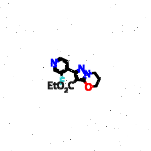 CCOC(=O)c1c(-c2ccncc2F)nn2c1OCCC2